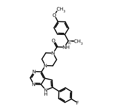 COc1ccc([C@@H](C)NC(=O)N2CCN(c3ncnc4[nH]c(-c5ccc(F)cc5)cc34)CC2)cc1